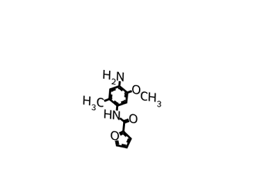 COc1cc(NC(=O)c2ccco2)c(C)cc1N